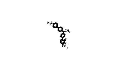 Cc1ccc(C2CCC(C(C)C3CCC(C4CCC(C)CC4)CC3)CC2)c(F)c1F